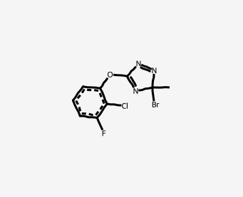 CC1(Br)N=NC(Oc2cccc(F)c2Cl)=N1